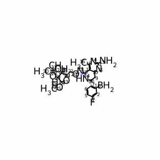 Bc1cc(F)ccc1[C@H]1Cc2nc(N)nc(C)c2/C(=N/OC[C@H]2O[C@H](OC)[C@@H]3OC(C)(C)O[C@@H]32)N1